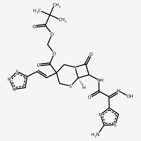 CC(C)(C)C(=O)OCOC(=O)C1(C=Cc2cnns2)CS[C@@H]2C(NC(=O)C(=NO)c3csc(N)n3)C(=O)N2C1